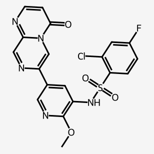 COc1ncc(-c2cn3c(=O)ccnc3cn2)cc1NS(=O)(=O)c1ccc(F)cc1Cl